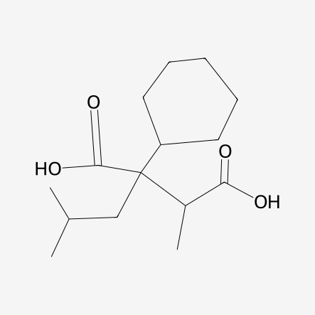 CC(C)CC(C(=O)O)(C1CCCCC1)C(C)C(=O)O